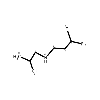 CC(C)CNCCC(F)F